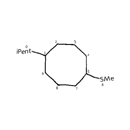 CCCC(C)C1CCCC(SC)CCC1